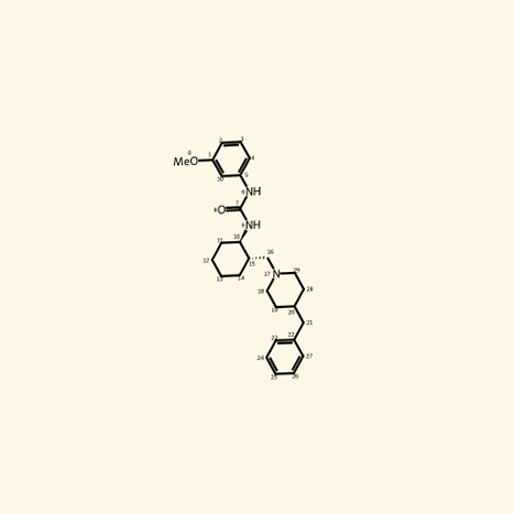 COc1cccc(NC(=O)N[C@@H]2CCCC[C@H]2CN2CCC(Cc3ccccc3)CC2)c1